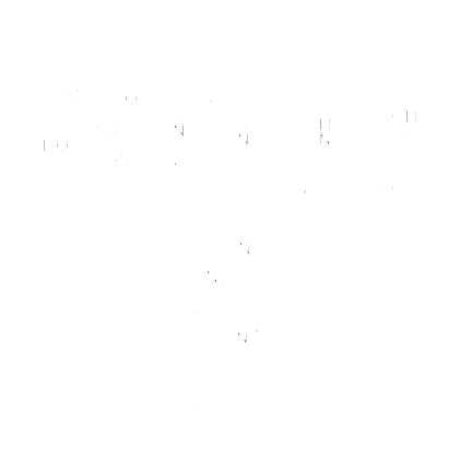 O=C(O)NCC1c2nn(-c3ccccn3)cc2C2CN1C(=O)N2OS(=O)(=O)O